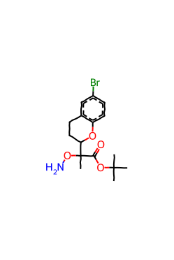 CC(C)(C)OC(=O)C(C)(ON)C1CCc2cc(Br)ccc2O1